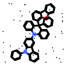 c1ccc(-n2c3ccccc3c3cc(N4c5ccccc5C(c5ccccc5)(c5cccc6c5oc5ccccc56)c5ccccc54)ccc32)cc1